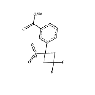 COC(=O)c1cccc(C2([SH](=O)=O)CC(F)(F)C2)c1